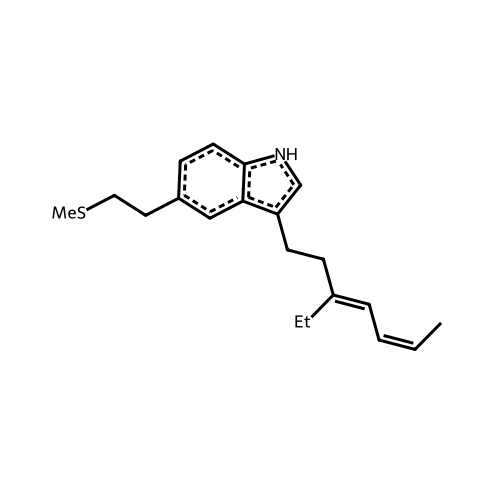 C/C=C\C=C(/CC)CCc1c[nH]c2ccc(CCSC)cc12